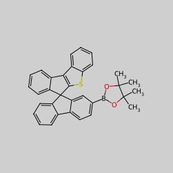 CC1(C)OB(c2ccc3c(c2)C2(c4ccccc4-3)c3ccccc3-c3c2sc2ccccc32)OC1(C)C